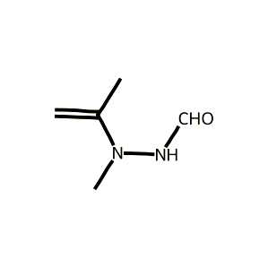 C=C(C)N(C)NC=O